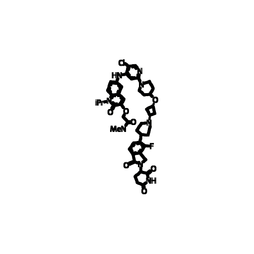 CNC(=O)COc1cc2cc(Nc3cc(N4CCC(O[C@H]5C[C@H](N6CCC(c7ccc8c(c7F)CN(C7CCC(=O)NC7=O)C8=O)CC6)C5)CC4)ncc3Cl)ccc2n(C(C)C)c1=O